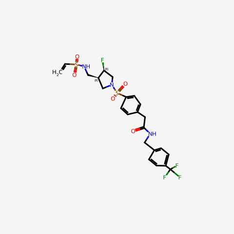 C=CS(=O)(=O)NC[C@@H]1CN(S(=O)(=O)c2ccc(CC(=O)NCc3ccc(C(F)(F)F)cc3)cc2)C[C@@H]1F